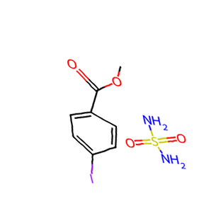 COC(=O)c1ccc(I)cc1.NS(N)(=O)=O